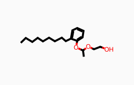 CCCCCCCCCc1ccccc1OC(C)OCCO